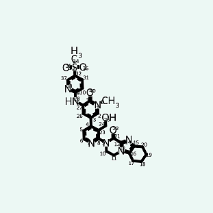 Cn1cc(-c2ccnc(N3CCn4c(nc5c4CCCC5)C3=O)c2CO)cc(Nc2ccc(S(C)(=O)=O)cn2)c1=O